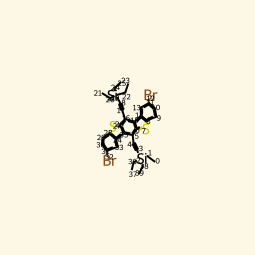 CC[Si](C#Cc1c2sc3ccc(Br)cc3c2c(C#C[Si](CC)(CC)CC)c2sc3ccc(Br)cc3c12)(CC)CC